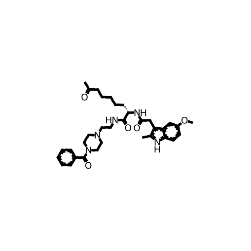 COc1ccc2[nH]c(C)c(CC(=O)N[C@@H](CCCCCC(C)=O)C(=O)NCCN3CCN(C(=O)c4ccccc4)CC3)c2c1